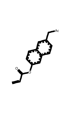 C=CC(=O)Oc1ccc2cc(CC(C)=O)ccc2c1